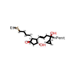 CCCCCC(O)(CC=C[C@H]1[C@H](O)CC(=O)[C@@H]1CCCCSCC)C1CC1